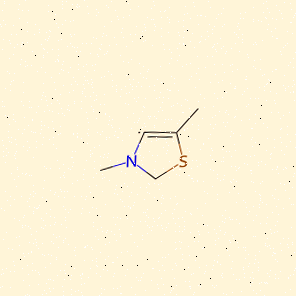 CC1=[C]N(C)CS1